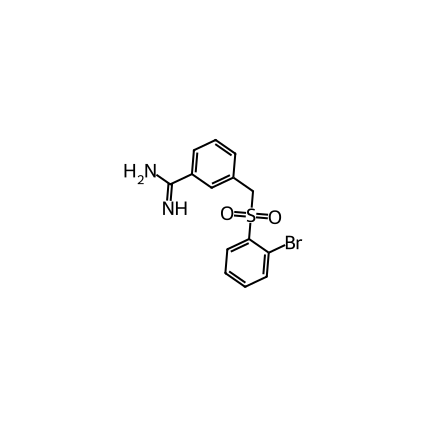 N=C(N)c1cccc(CS(=O)(=O)c2ccccc2Br)c1